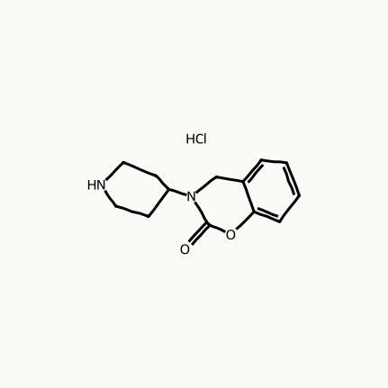 Cl.O=C1Oc2ccccc2CN1C1CCNCC1